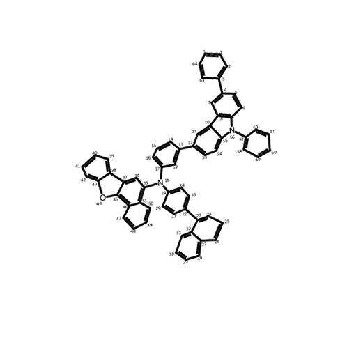 c1ccc(-c2ccc3c(c2)c2cc(-c4cccc(N(c5ccc(-c6cccc7ccccc67)cc5)c5cc6c7ccccc7oc6c6ccccc56)c4)ccc2n3-c2ccccc2)cc1